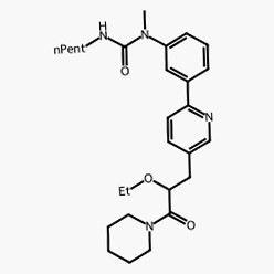 CCCCCNC(=O)N(C)c1cccc(-c2ccc(CC(OCC)C(=O)N3CCCCC3)cn2)c1